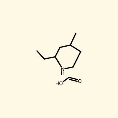 CCC1CC(C)CCN1.O=CO